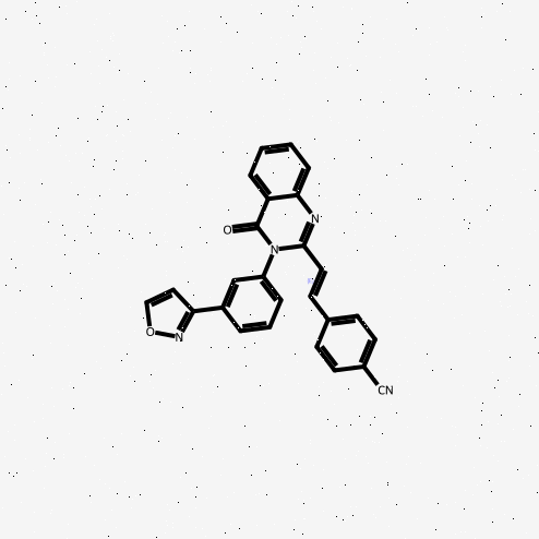 N#Cc1ccc(/C=C/c2nc3ccccc3c(=O)n2-c2cccc(-c3ccon3)c2)cc1